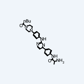 CCCCC(=O)N1CCN(c2ccc(Nc3nccc(-c4ccc(NC(=O)C(C)N)cc4)n3)cc2)CC1